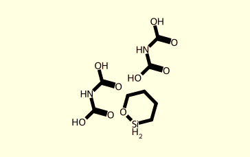 C1CC[SiH2]OC1.O=C(O)NC(=O)O.O=C(O)NC(=O)O